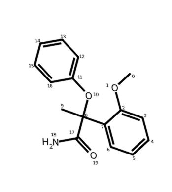 COc1ccccc1C(C)(Oc1ccccc1)C(N)=O